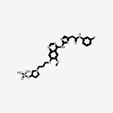 COc1cc2c(Nc3ncc(CC(=O)Nc4cccc(F)c4)s3)ncnc2cc1OCCCN1CCC(OP(=O)(O)O)C1